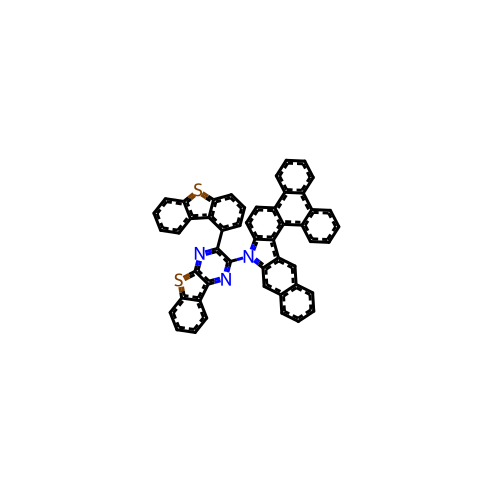 c1ccc2cc3c(cc2c1)c1c2c4ccccc4c4ccccc4c2ccc1n3-c1nc2c(nc1-c1cccc3sc4ccccc4c13)sc1ccccc12